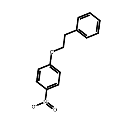 O=[N+]([O-])c1[c]cc(OCCc2ccccc2)cc1